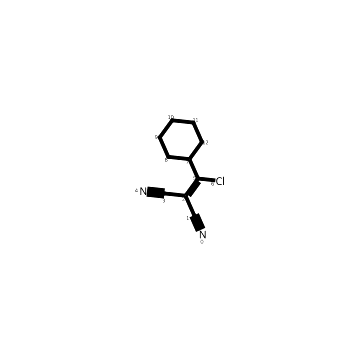 N#CC(C#N)=C(Cl)C1CCCCC1